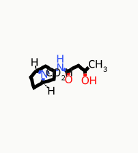 CC(O)CC(=O)N[C@@H]1C[C@H]2CC[C@@H](C1)N2C(=O)O